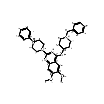 COc1cc2nc(N3CCN(c4ccccc4)CC3)nc(NC3CCN(Cc4ccccc4)CC3)c2cc1OC